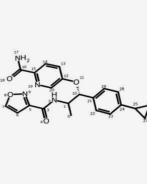 CC(NC(=O)c1ccon1)[C@H](Oc1ccc(C(N)=O)nc1)c1ccc(C2CC2)cc1